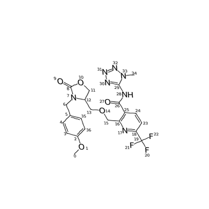 COc1ccc(CN2C(=O)OCC2COCc2nc(C(F)(F)F)ccc2C(=O)Nc2nnnn2C)cc1